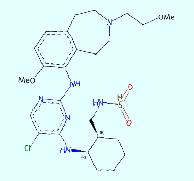 COCCN1CCc2ccc(OC)c(Nc3ncc(Cl)c(N[C@@H]4CCCC[C@@H]4CN[SH](=O)=O)n3)c2CC1